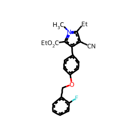 CCOC(=O)c1c(-c2ccc(OCc3ccccc3F)cc2)c(C#N)c(CC)n1C